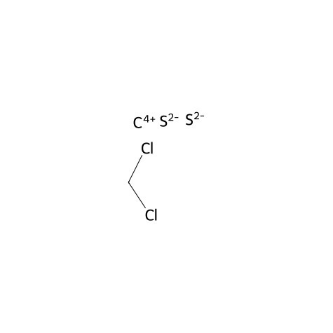 ClCCl.[C+4].[S-2].[S-2]